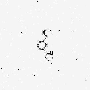 c1cc(C2=NCCC2)nc(C2=NCCC2)c1